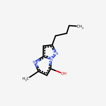 CCCCc1cc2nc(C)cc(O)n2n1